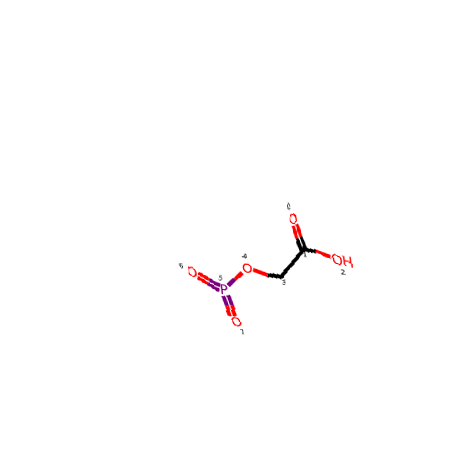 O=C(O)COP(=O)=O